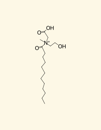 CCCCCCCCCCCC(=O)[N+](C)(CCO)CC(=O)O